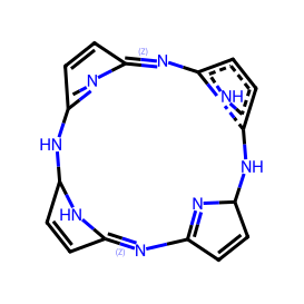 C1=CC2N=C1/N=C1/C=CC(NC3=N/C(=N\c4ccc([nH]4)N2)C=C3)N1